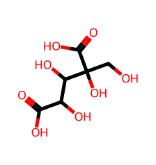 O=C(O)C(O)C(O)C(O)(CO)C(=O)O